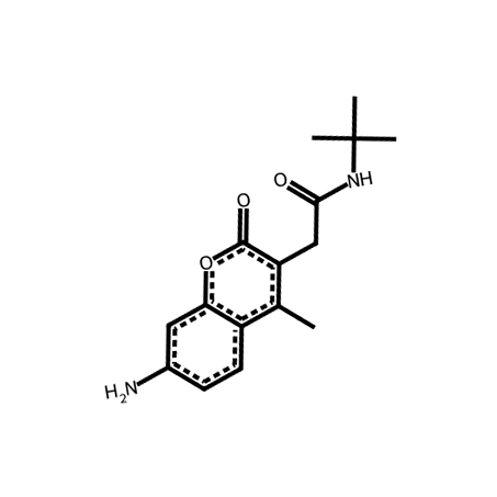 Cc1c(CC(=O)NC(C)(C)C)c(=O)oc2cc(N)ccc12